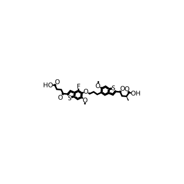 COc1cc2sc(C(=O)C[C@H](C)C(=O)O)cc2cc1CCCOc1c(OC)cc2sc(C(=O)CCC(=O)O)cc2c1F